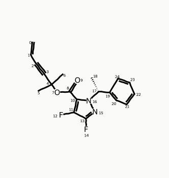 C=CC#CC(C)(C)OC(=O)c1c(F)c(F)nn1[C@H](C)c1ccccc1